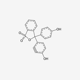 O=S1(=O)OC(c2c#cc(O)cc2)(c2ccc(O)cc2)c2ccccc21